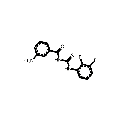 O=C(NC(=S)Nc1cccc(F)c1F)c1cccc([N+](=O)[O-])c1